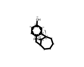 C[C@@]12CCCCC(Cc3ccc(O)cc31)[C@@H]2N